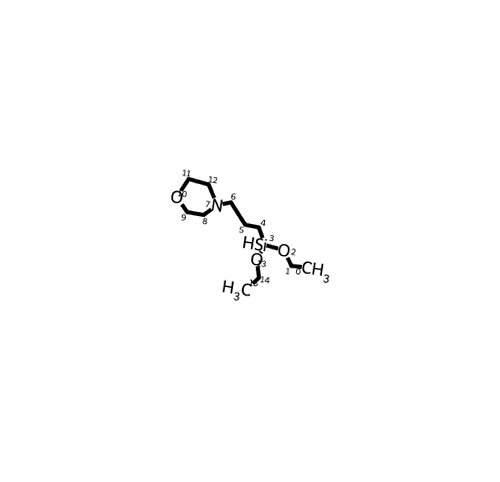 CCO[SiH](CCCN1CCOCC1)OCC